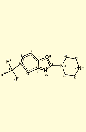 FC(F)(F)c1ccc2oc(N3CCNCC3)nc2c1